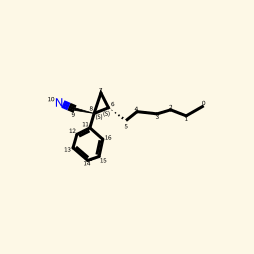 CCCCCC[C@H]1C[C@@]1(C#N)c1cc[c]cc1